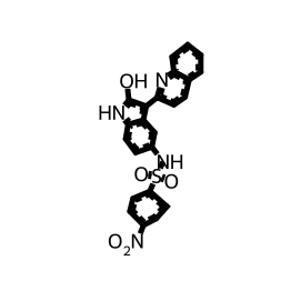 O=[N+]([O-])c1ccc(S(=O)(=O)Nc2ccc3[nH]c(O)c(-c4ccc5ccccc5n4)c3c2)cc1